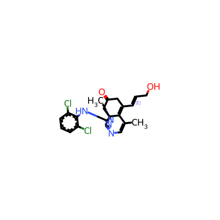 CC1=CN=C2N=C(Nc3c(Cl)cccc3Cl)N(C)C23CC(=O)CC(/C=C/CO)=C13